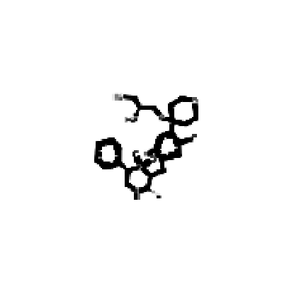 C[C@@H]1NC[C@@H](c2ccccc2)S(=O)(=O)C1Cc1cc(F)c(C2(OC[C@@H](O)CO)CCOCC2)cc1F